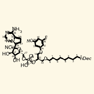 CCCCCCCCCCCCCCCCCCOC[C@H](COc1cc(F)cc(C#N)c1)OP(=O)(O)OC[C@H]1O[C@@](C#N)(c2ccc3c(N)ncnn23)[C@H](O)[C@@H]1O